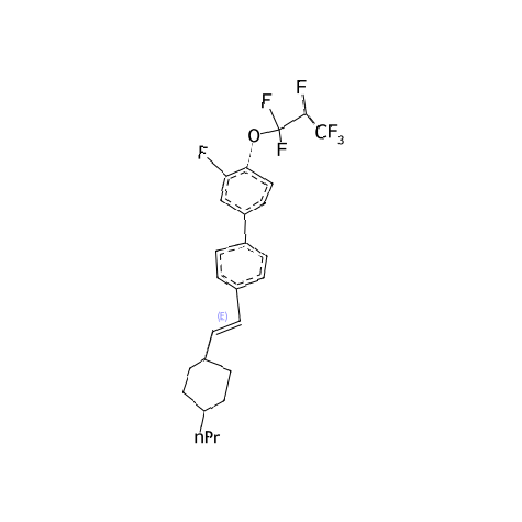 CCCC1CCC(/C=C/c2ccc(-c3ccc(OC(F)(F)C(F)C(F)(F)F)c(F)c3)cc2)CC1